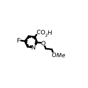 COCCOc1ncc(F)cc1C(=O)O